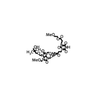 COCCOC(=O)CCn1c(=O)[nH]c(=O)n(CCC(=O)OCOCN2C(=O)N(COC)C3C2N(COC)C(=O)N3COCC(C)(C)CO)c1=O